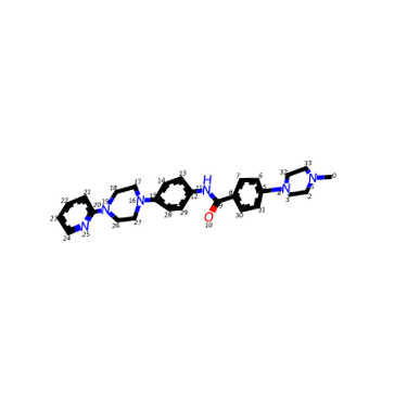 CN1CCN(c2ccc(C(=O)Nc3ccc(N4CCN(c5ccccn5)CC4)cc3)cc2)CC1